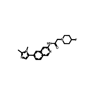 Cc1ncc(-c2ccc3cnc(NC(=O)CN4CCC(F)CC4)cc3c2)n1C